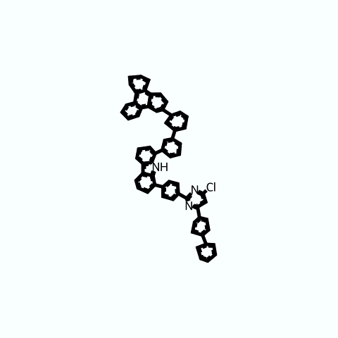 Clc1cc(-c2ccc(-c3ccccc3)cc2)nc(-c2ccc(-c3cccc4c3[nH]c3c(-c5cccc(-c6cccc(-c7ccc8c9ccccc9c9ccccc9c8c7)c6)c5)cccc34)cc2)n1